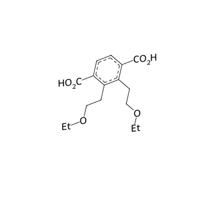 CCOCCc1c(C(=O)O)ccc(C(=O)O)c1CCOCC